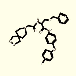 O=C(CN1CCC2(CC1)COOC2)NC(COCc1ccccc1)C(=O)Nc1ccc(Oc2ccc(F)cc2)cc1